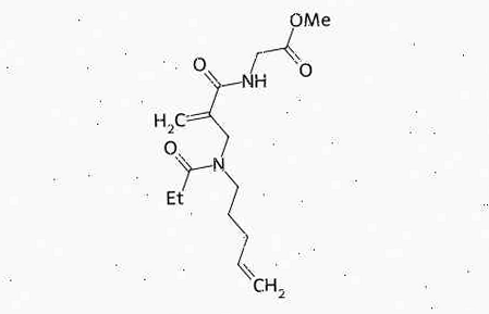 C=CCCCN(CC(=C)C(=O)NCC(=O)OC)C(=O)CC